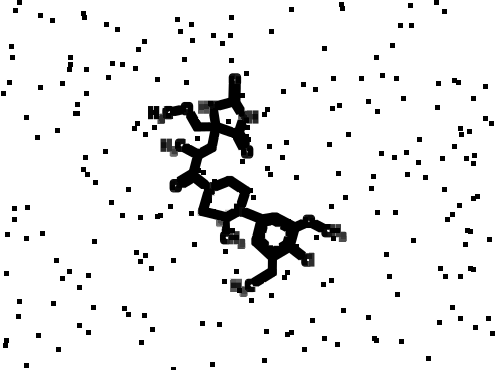 CCc1cc(N2CCN(C(=O)C(C)CC3(COC)NC(=O)NC3=O)C[C@@H]2C)cc(OC)c1Cl